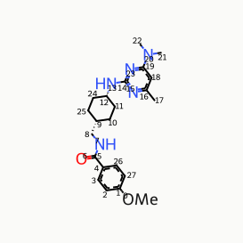 COc1ccc(C(=O)NC[C@H]2CC[C@@H](Nc3nc(C)cc(N(C)C)n3)CC2)cc1